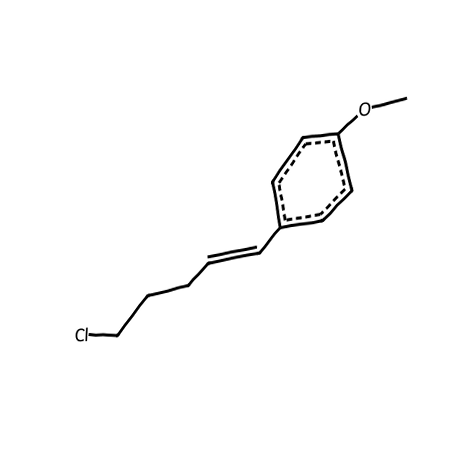 COc1ccc(C=CCCCCl)cc1